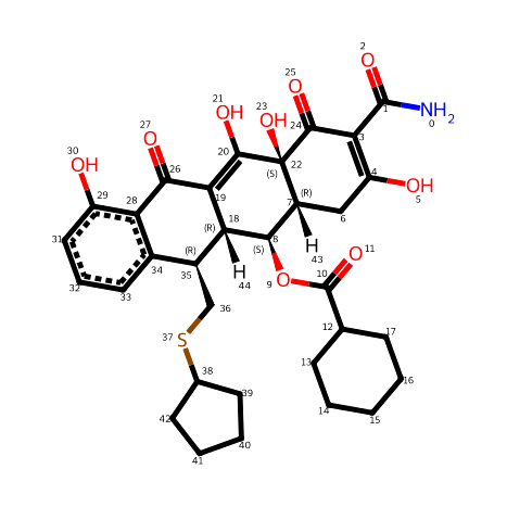 NC(=O)C1=C(O)C[C@@H]2[C@@H](OC(=O)C3CCCCC3)[C@H]3C(=C(O)[C@]2(O)C1=O)C(=O)c1c(O)cccc1[C@@H]3CSC1CCCC1